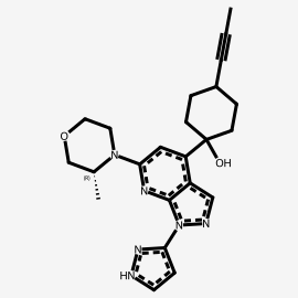 CC#CC1CCC(O)(c2cc(N3CCOC[C@H]3C)nc3c2cnn3-c2cc[nH]n2)CC1